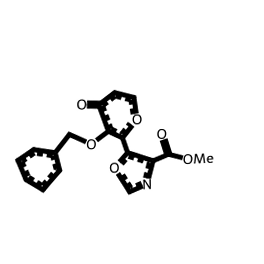 COC(=O)c1ncoc1-c1occc(=O)c1OCc1ccccc1